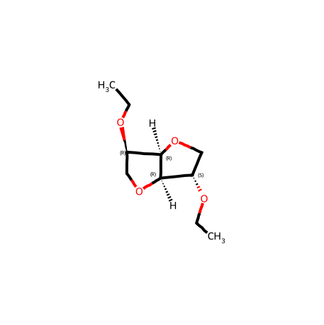 CCO[C@H]1CO[C@H]2[C@@H]1OC[C@H]2OCC